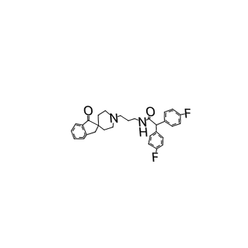 O=C(NCCCN1CCC2(CC1)Cc1ccccc1C2=O)C(c1ccc(F)cc1)c1ccc(F)cc1